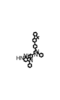 CC1(C)c2ccccc2-c2ccc(-c3ccc(-c4cc(-c5ccc6c7c(c(-c8ccccc8)nc6c5)C=CC(=N)C7=N)nc(-c5ccccc5)n4)cc3)cc21